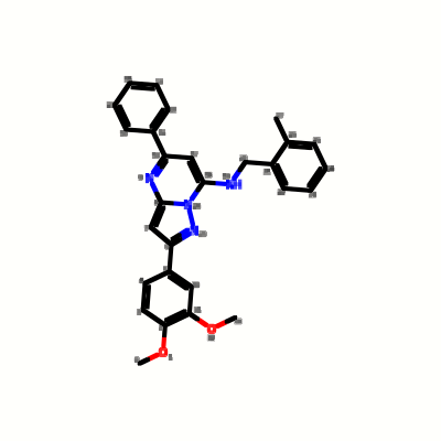 COc1ccc(-c2cc3nc(-c4ccccc4)cc(NCc4ccccc4C)n3n2)cc1OC